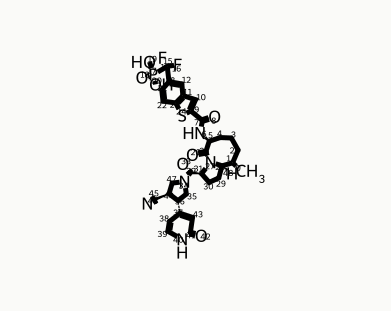 CC1CCC[C@H](NC(=O)c2cc3cc(C(F)(F)P(=O)(O)O)ccc3s2)C(=O)N2[C@@H]1CC[C@H]2C(=O)N1C[C@H](c2cc[nH]c(=O)c2)[C@@H](C#N)C1